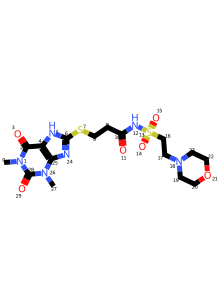 Cn1c(=O)c2[nH]c(SCCC(=O)NS(=O)(=O)CCN3CCOCC3)nc2n(C)c1=O